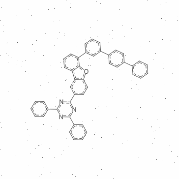 c1ccc(-c2ccc(-c3cccc(-c4cccc5c4oc4ccc(-c6nc(-c7ccccc7)nc(-c7ccccc7)n6)cc45)c3)cc2)cc1